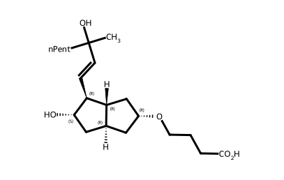 CCCCCC(C)(O)C=C[C@H]1[C@@H]2C[C@H](OCCCC(=O)O)C[C@H]2C[C@@H]1O